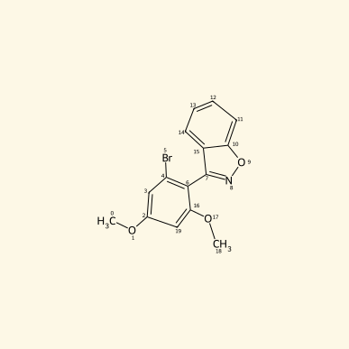 COc1cc(Br)c(-c2noc3ccccc23)c(OC)c1